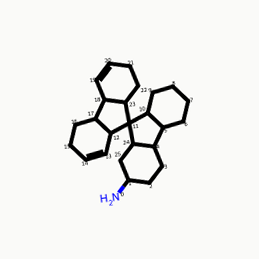 NC1CCC2C3CCCCC3C3(C4C=CCCC4C4C=CCCC43)C2C1